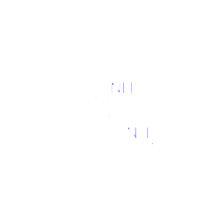 Cc1c(-c2ccccc2N)c(C)c2[nH]c3ccccc3c2c1C